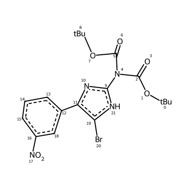 CC(C)(C)OC(=O)N(C(=O)OC(C)(C)C)c1nc(-c2cccc([N+](=O)[O-])c2)c(Br)[nH]1